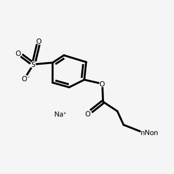 CCCCCCCCCCCC(=O)Oc1ccc(S(=O)(=O)[O-])cc1.[Na+]